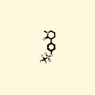 CN1CCCC(c2ccc(OS(=O)(=O)C(F)(F)F)cc2)C1=O